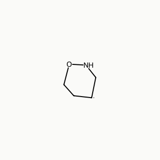 [CH]1CCONC1